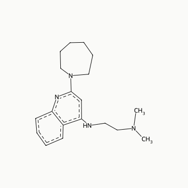 CN(C)CCNc1cc(N2CCCCCC2)nc2ccccc12